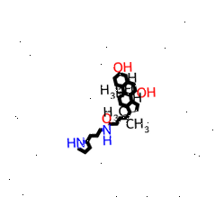 C[C@H](CCC(=O)NCCCC1CCCN1)[C@H]1CC[C@H]2[C@@H]3[C@@H](O)C[C@@H]4C[C@H](O)CC[C@]4(C)[C@H]3CC[C@]12C